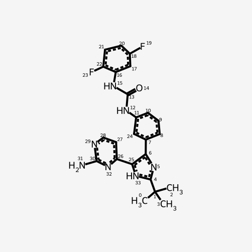 CC(C)(C)c1nc(-c2cccc(NC(=O)Nc3cc(F)ccc3F)c2)c(-c2ccnc(N)n2)[nH]1